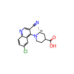 C[C@@H]1CC(C(=O)O)CCN1c1c(C#N)cnc2ccc(Cl)cc12